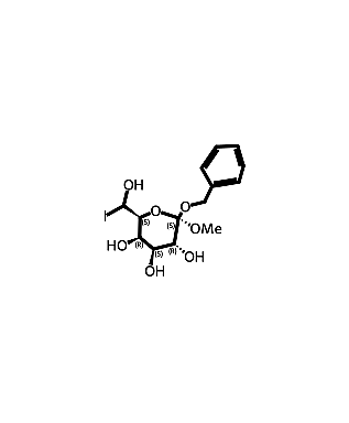 CO[C@@]1(OCc2ccccc2)O[C@H](C(O)I)[C@H](O)[C@H](O)[C@H]1O